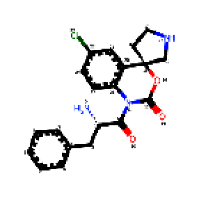 N[C@@H](Cc1ccccc1)C(=O)N1C(=O)O[C@]2(CCNC2)c2cc(Cl)ccc21